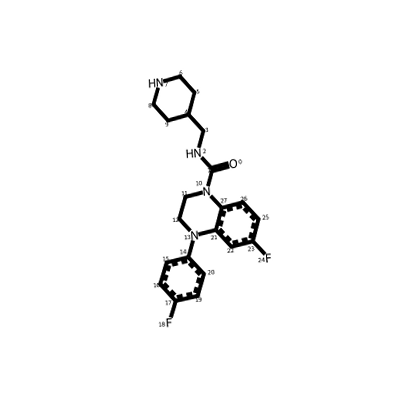 O=C(NCC1CCNCC1)N1CCN(c2ccc(F)cc2)c2cc(F)ccc21